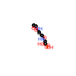 O=C(Nc1ccc2cccc(O)c2c1)c1ccc(-c2ccc(C(=O)Nc3ccc4cc(S(=O)(=O)O)cc(O)c4c3)cc2)cc1